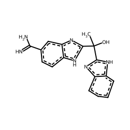 CC(O)(c1nc2ccccc2[nH]1)c1nc2cc(C(=N)N)ccc2[nH]1